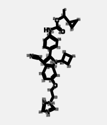 CC(OC(=O)Nc1ccc(-c2c(C#N)c3ccc(OCCn4cncn4)cc3n2C2CCC2)cc1)C1CC1